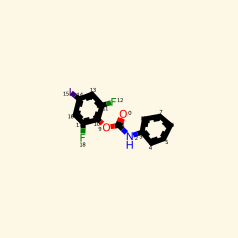 O=C(Nc1ccccc1)Oc1c(F)cc(I)cc1F